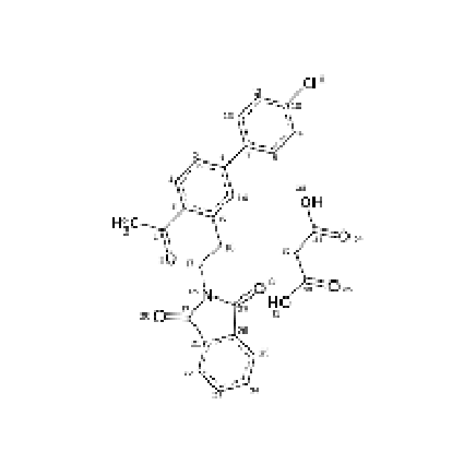 CC(=O)c1ccc(-c2ccc(Cl)cc2)cc1CCN1C(=O)c2ccccc2C1=O.O=C(O)CC(=O)O